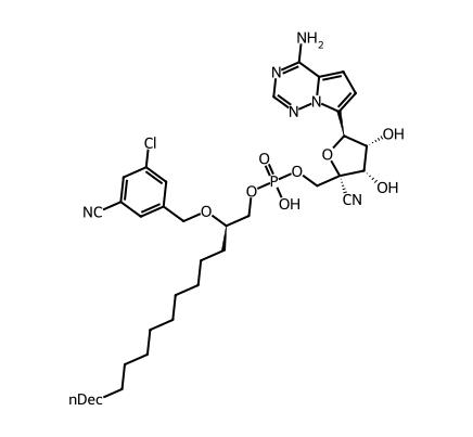 CCCCCCCCCCCCCCCCCCC[C@H](COP(=O)(O)OC[C@@]1(C#N)O[C@@H](c2ccc3c(N)ncnn23)[C@H](O)[C@@H]1O)OCc1cc(Cl)cc(C#N)c1